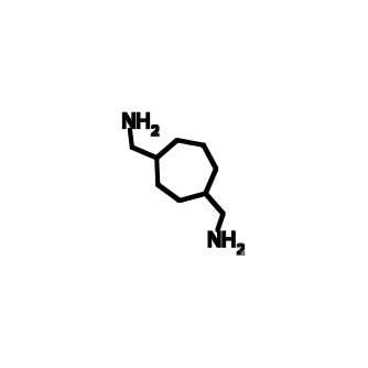 NCC1CCCC(CN)CC1